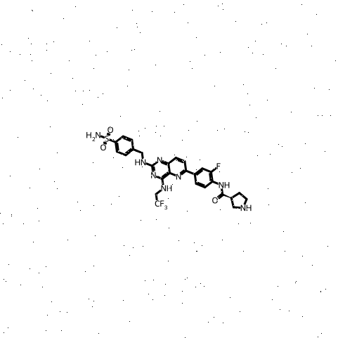 NS(=O)(=O)c1ccc(CNc2nc(NCC(F)(F)F)c3nc(-c4ccc(NC(=O)[C@H]5CCNC5)c(F)c4)ccc3n2)cc1